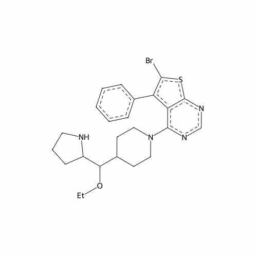 CCOC(C1CCN(c2ncnc3sc(Br)c(-c4ccccc4)c23)CC1)C1CCCN1